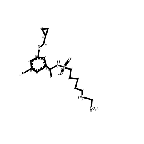 CC(NS(=O)(=O)CCCCCNCC(=O)O)c1cc(F)cc(OCC2CC2)c1